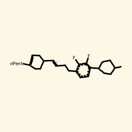 CCCCCC1=CCC(/C=C/CCc2ccc(C3CCC(C)CC3)c(F)c2F)CC1